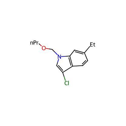 CCCOCn1cc(Cl)c2ccc(CC)cc21